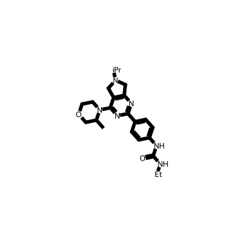 CCNC(=O)Nc1ccc(-c2nc3c(c(N4CCOCC4C)n2)CN(C(C)C)C3)cc1